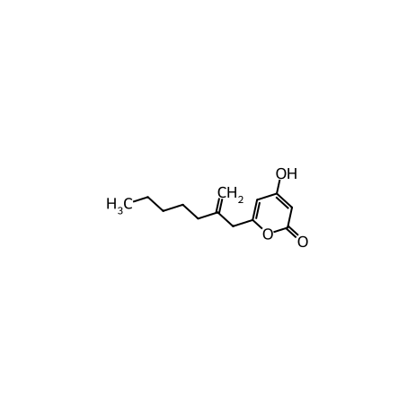 C=C(CCCCC)Cc1cc(O)cc(=O)o1